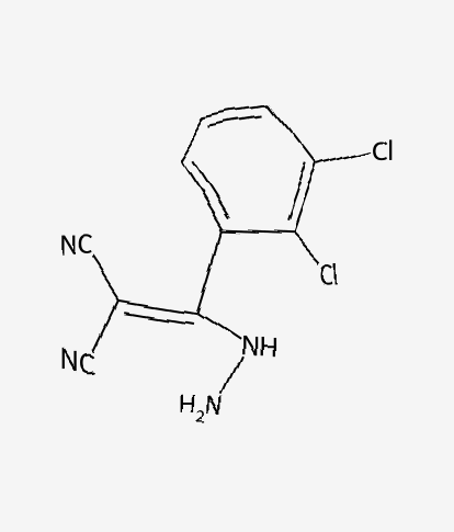 N#CC(C#N)=C(NN)c1cccc(Cl)c1Cl